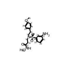 COc1ccc(CCN(CCC(=O)NO)S(=O)(=O)c2cccc(N)c2)cc1